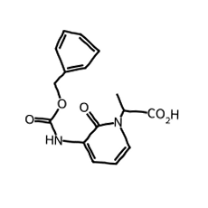 CC(C(=O)O)n1cccc(NC(=O)OCc2ccccc2)c1=O